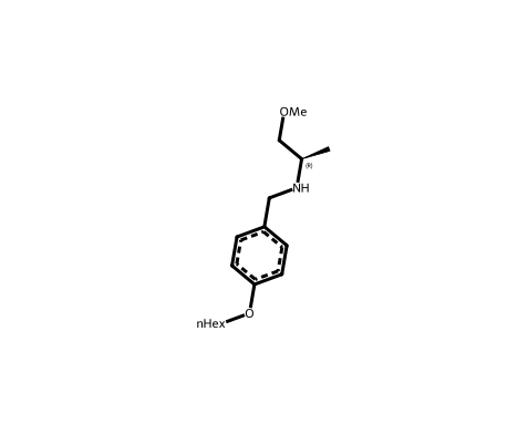 CCCCCCOc1ccc(CN[C@H](C)COC)cc1